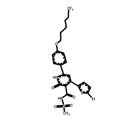 CCc1ccc(-c2cc(-c3ccc(OCCCCCC(F)(F)F)cc3)[nH]c(=O)c2C(=O)NS(C)(=O)=O)s1